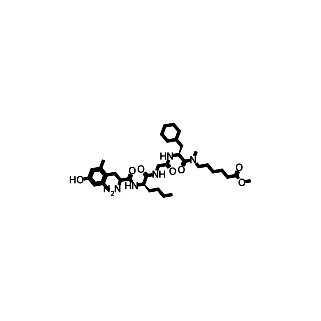 CCCC[C@@H](NC(=O)C(N)Cc1c(C)cc(O)cc1C)C(=O)NCC(=O)N[C@@H](CC1CCCCC1)C(=O)N(C)CCCCCC(=O)OC